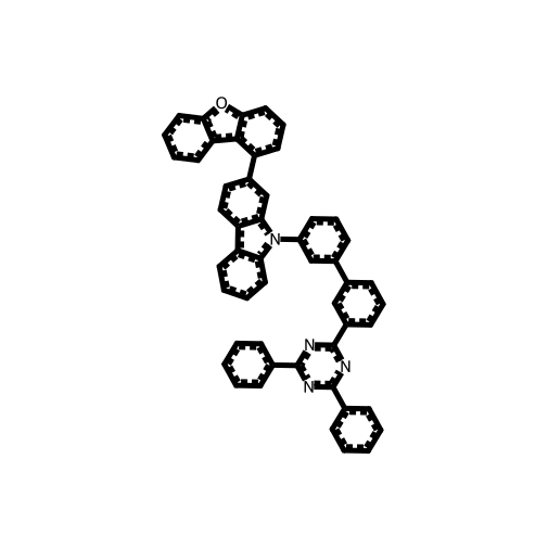 c1ccc(-c2nc(-c3ccccc3)nc(-c3cccc(-c4cccc(-n5c6ccccc6c6ccc(-c7cccc8oc9ccccc9c78)cc65)c4)c3)n2)cc1